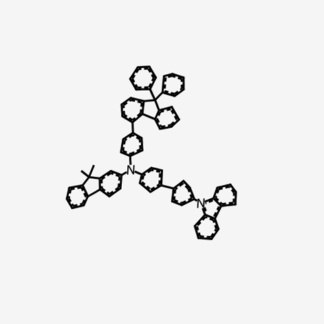 CC1(C)c2ccccc2-c2ccc(N(c3ccc(-c4ccc(-n5c6ccccc6c6ccccc65)cc4)cc3)c3ccc(-c4cccc5c4-c4ccccc4C5(c4ccccc4)c4ccccc4)cc3)cc21